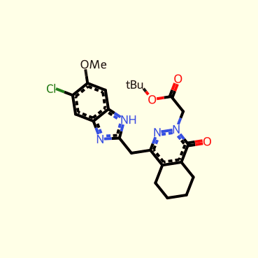 COc1cc2[nH]c(Cc3nn(CC(=O)OC(C)(C)C)c(=O)c4c3CCCC4)nc2cc1Cl